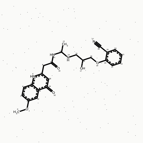 COc1ccc2[nH]c(CC(=O)NC(C)NCC(O)COc3ccccc3C#N)cc(=O)c2c1